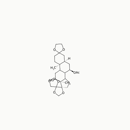 CC(=O)O[C@@H]1C[C@@H]2CC3(CC[C@]2(C)C2C[C@H](O)[C@@]4(C)C(CC[C@@]45OCOC54COCO4)C21)OCCO3